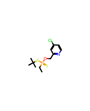 CCP(=S)(OCc1cc(Cl)ccn1)SC(C)(C)C